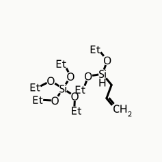 C=CC[SiH](OCC)OCC.CCO[Si](OCC)(OCC)OCC